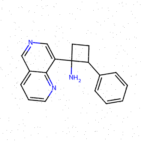 NC1(c2cncc3cccnc23)CCC1c1ccccc1